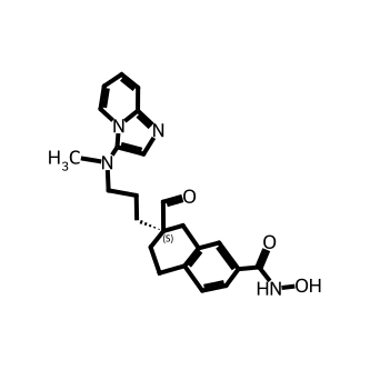 CN(CCC[C@@]1(C=O)CCc2ccc(C(=O)NO)cc2C1)c1cnc2ccccn12